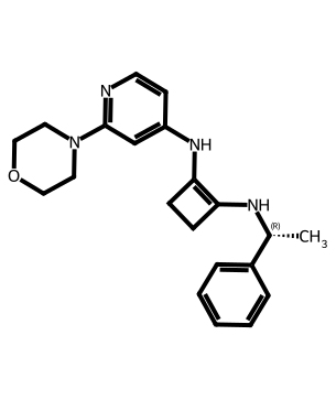 C[C@@H](NC1=C(Nc2ccnc(N3CCOCC3)c2)CC1)c1ccccc1